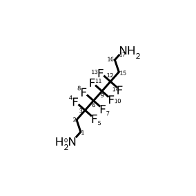 NCCC(F)(F)C(F)(F)C(F)(F)C(F)(F)CCN